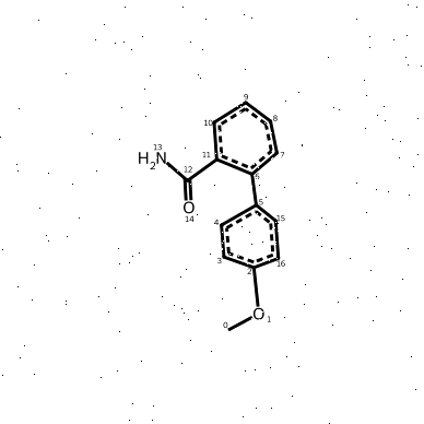 COc1ccc(-c2ccccc2C(N)=O)cc1